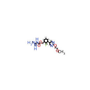 COCCOc1ncc(-c2cccc(COC(=O)NC(=N)N)c2F)cn1